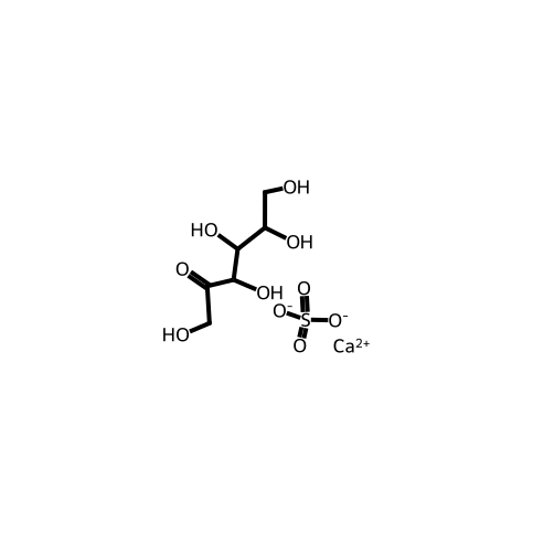 O=C(CO)C(O)C(O)C(O)CO.O=S(=O)([O-])[O-].[Ca+2]